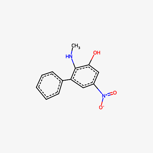 CNc1c(O)cc([N+](=O)[O-])cc1-c1ccccc1